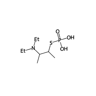 CCN(CC)C(C)C(C)SP(=O)(O)O